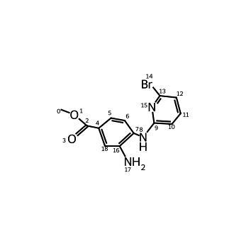 COC(=O)c1ccc(Nc2cccc(Br)n2)c(N)c1